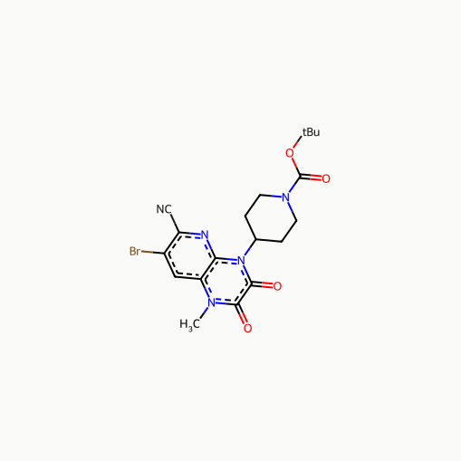 Cn1c(=O)c(=O)n(C2CCN(C(=O)OC(C)(C)C)CC2)c2nc(C#N)c(Br)cc21